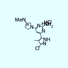 CN[C@@H]1CCN(c2cc(-c3[nH]nc(Cl)c3C)nc(N)n2)C1.Cl.Cl